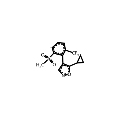 CS(=O)(=O)c1[c]ccc(C(F)(F)F)c1-c1cnoc1C1CC1